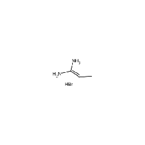 Br.CC=C(N)N